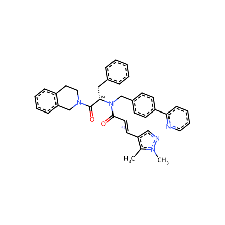 Cc1c(/C=C/C(=O)N(Cc2ccc(-c3ccccn3)cc2)[C@@H](Cc2ccccc2)C(=O)N2CCc3ccccc3C2)cnn1C